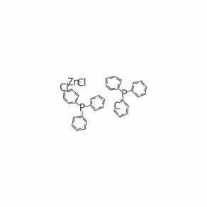 [Cl][Zn][Cl].c1ccc(P(c2ccccc2)c2ccccc2)cc1.c1ccc(P(c2ccccc2)c2ccccc2)cc1